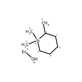 CC1CCCC[Si]1(C)C.CCO